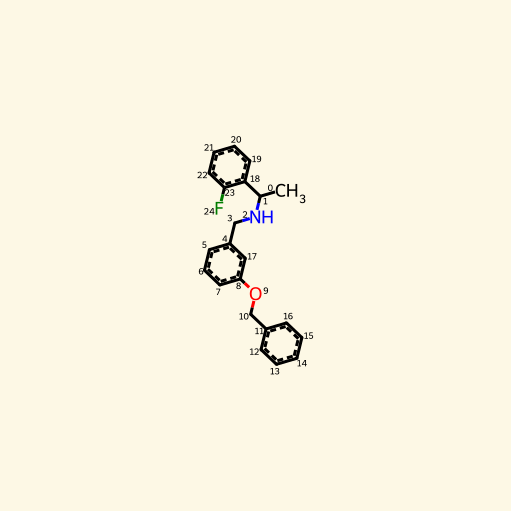 CC(NCc1cccc(OCc2ccccc2)c1)c1ccccc1F